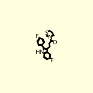 O=C(CCc1c(-c2ccc(F)cc2)[nH]c2ccc(F)cc12)N1CCCSC1